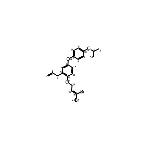 C=CCc1cc(Oc2ccc(OC(C)C)cc2)ccc1OCC=C(Br)Br